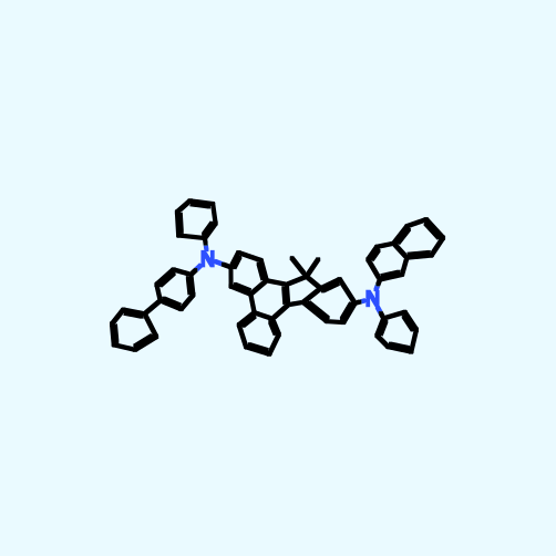 CC1(C)c2cc(N(c3ccccc3)c3ccc4ccccc4c3)ccc2-c2c1c1ccc(N(c3ccccc3)c3ccc(-c4ccccc4)cc3)cc1c1ccccc21